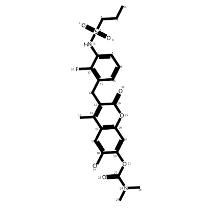 CCCS(=O)(=O)Nc1cccc(Cc2c(C)c3cc(Cl)c(OC(=O)N(C)C)cc3oc2=O)c1F